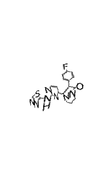 O=c1c(-c2ccc(F)cc2)c(-c2ccnc(Nc3nncs3)n2)n2n1CCC2